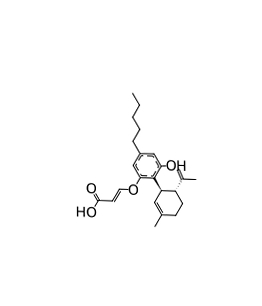 C=C(C)[C@@H]1CCC(C)=C[C@H]1c1c(O)cc(CCCCC)cc1O/C=C/C(=O)O